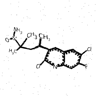 CC(CC(C)(C)[S+](N)[O-])c1cc2cc(Cl)c(F)cc2nc1Cl